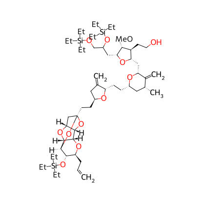 C=CC[C@@H]1O[C@@H]2[C@H]3O[C@@H]4C[C@](CC[C@H]5CC(=C)[C@H](CC[C@H]6C[C@@H](C)C(=C)[C@@H](C[C@@H]7O[C@H](CC(CO[Si](CC)(CC)CC)O[Si](CC)(CC)CC)[C@H](OC)[C@H]7CCO)O6)O5)(O[C@H]3[C@H]1O[Si](CC)(CC)CC)O[C@H]24